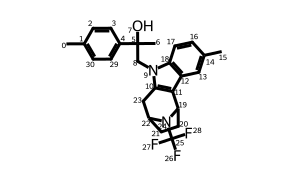 Cc1ccc(C(C)(O)Cn2c3c(c4cc(C)ccc42)C2CCC(C3)N2C(F)(F)F)cc1